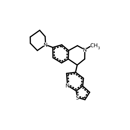 CN1Cc2cc(N3CCCCC3)ccc2C(c2cnc3sccc3c2)C1